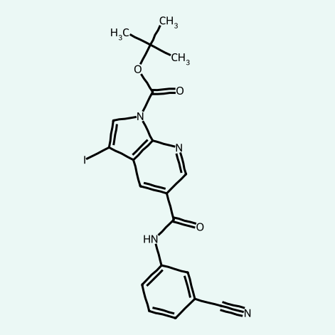 CC(C)(C)OC(=O)n1cc(I)c2cc(C(=O)Nc3cccc(C#N)c3)cnc21